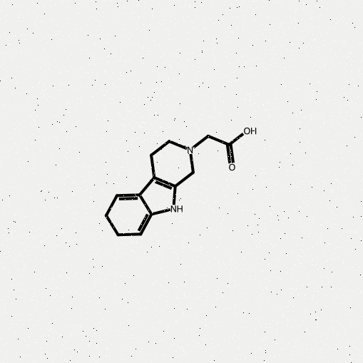 O=C(O)CN1CCc2c([nH]c3c2=CCCC=3)C1